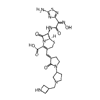 Nc1nc(/C(=N/O)C(=O)N[C@@H]2C(=O)N3C(C(=O)O)=C(/C=C4\CCN(C5CCN(CC6CNC6)C5)C4=O)CS[C@H]23)ns1